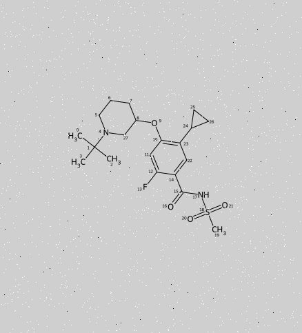 CC(C)(C)N1CCCC(Oc2cc(F)c(C(=O)NS(C)(=O)=O)cc2C2CC2)C1